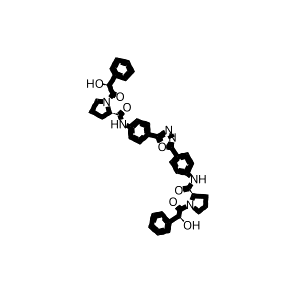 O=C(Nc1ccc(-c2nnc(-c3ccc(NC(=O)[C@@H]4CCCN4C(=O)[C@H](O)c4ccccc4)cc3)o2)cc1)[C@@H]1CCCN1C(=O)[C@H](O)c1ccccc1